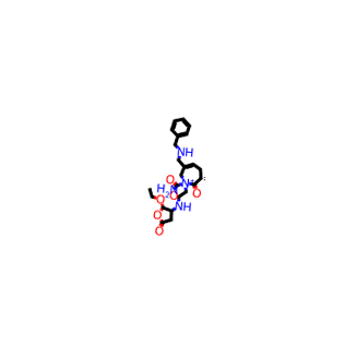 CCOC1OC(=O)CC1NC(=O)C[N+]1(C(N)=O)CC(CNCc2ccccc2)=CC[C]C1=O